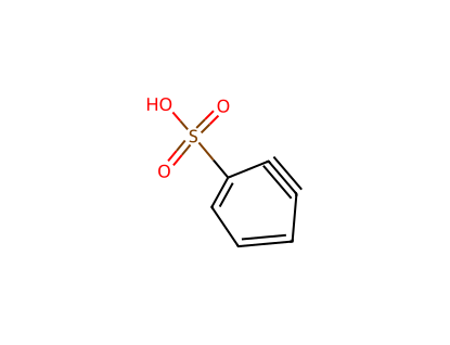 O=S(=O)(O)c1c#cccc1